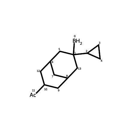 BC1(C2CC2)CC2CC(CC(C(C)=O)C2)C1